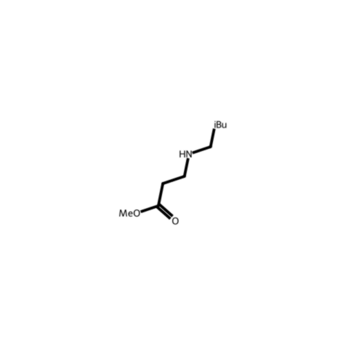 CCC(C)CNCCC(=O)OC